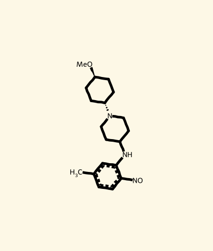 CO[C@H]1CC[C@H](N2CCC(Nc3cc(C)ccc3N=O)CC2)CC1